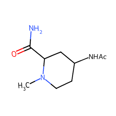 CC(=O)NC1CCN(C)C(C(N)=O)C1